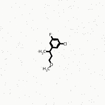 [CH2]C(CCOC)c1cc(F)cc(Cl)c1